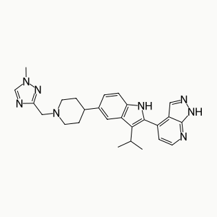 CC(C)c1c(-c2ccnc3[nH]ncc23)[nH]c2ccc(C3CCN(Cc4ncn(C)n4)CC3)cc12